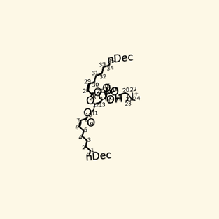 CCCCCCCCCCCCCCC/C=C\C(=O)OC[C@H](COP(=O)(O)OCC[N+](C)(C)C)OC(=O)/C=C\CCCCCCCCCCCCCCC